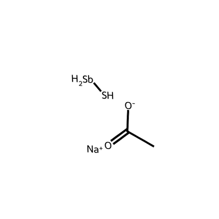 CC(=O)[O-].[Na+].[SH][SbH2]